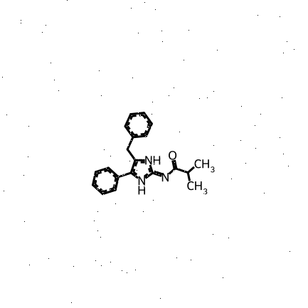 CC(C)C(=O)/N=c1\[nH]c(Cc2ccccc2)c(-c2ccccc2)[nH]1